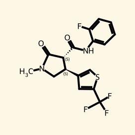 CN1C[C@H](c2csc(C(F)(F)F)c2)[C@@H](C(=O)Nc2ccccc2F)C1=O